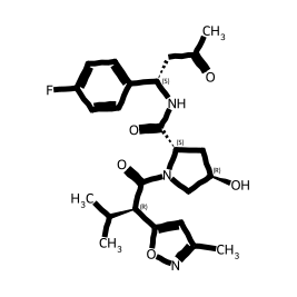 CC(=O)C[C@H](NC(=O)[C@@H]1C[C@@H](O)CN1C(=O)[C@@H](c1cc(C)no1)C(C)C)c1ccc(F)cc1